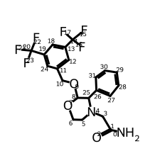 NC(=O)CN1CCOC(OCc2cc(C(F)(F)F)cc(C(F)(F)F)c2)C1c1ccccc1